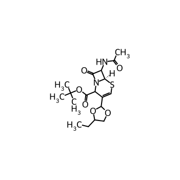 CCC1COC(C2=CS[C@@H]3C(NC(C)=O)C(=O)N3C2C(=O)OC(C)(C)C)O1